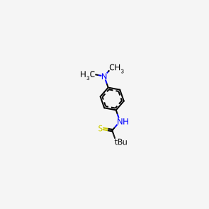 CN(C)c1ccc(NC(=S)C(C)(C)C)cc1